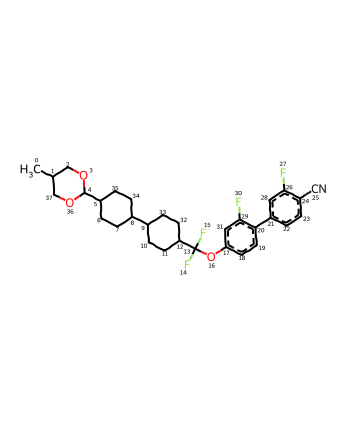 CC1COC(C2CCC(C3CCC(C(F)(F)Oc4ccc(-c5ccc(C#N)c(F)c5)c(F)c4)CC3)CC2)OC1